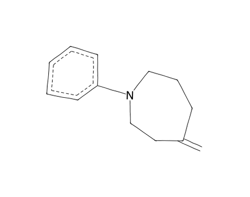 C=C1CCCN(c2ccccc2)CC1